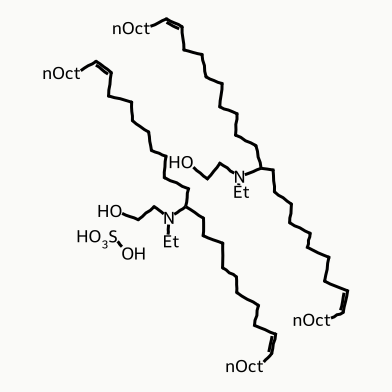 CCCCCCCC/C=C\CCCCCCCCC(CCCCCCCC/C=C\CCCCCCCC)N(CC)CCO.CCCCCCCC/C=C\CCCCCCCCC(CCCCCCCC/C=C\CCCCCCCC)N(CC)CCO.O=S(=O)(O)O